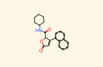 O=C1C=C(c2cccc3ccccc23)C(C(=O)NC2CCCCC2)O1